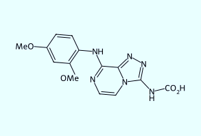 COc1ccc(Nc2nccn3c(NC(=O)O)nnc23)c(OC)c1